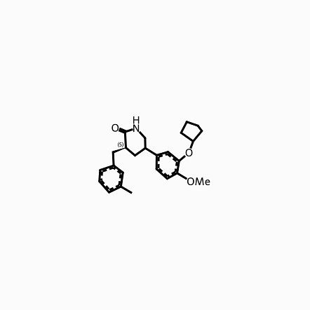 COc1ccc(C2CNC(=O)[C@H](Cc3cccc(C)c3)C2)cc1OC1CCCC1